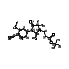 CSc1cc(N2C(=O)C(C)(C)N(CCC(=O)OC(C)(C)C)C2=S)cnc1C#N